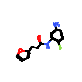 Nc1ccc(F)c(NC(=O)CCc2ccco2)c1